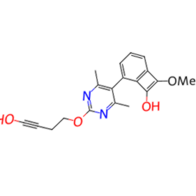 COC1=C(O)c2c1cccc2-c1c(C)nc(OCCC#CO)nc1C